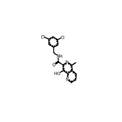 Cc1nc(C(=O)NCc2cc(Cl)cc(Cl)c2)c(O)c2ncccc12